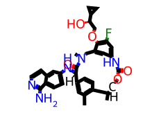 Cc1cc2ccc1[C@@H](C)COC(=O)Nc1cc(F)c(OC[C@@H](O)C3CC3)c(c1)CN(C)C(=O)[C@@H]2Nc1ccc2c(N)nccc2c1